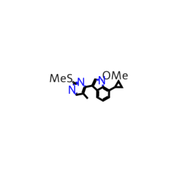 COn1cc(-c2nc(SC)ncc2C)c2cccc(C3CC3)c21